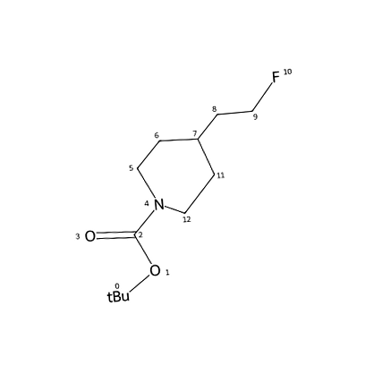 CC(C)(C)OC(=O)N1CCC(CCF)CC1